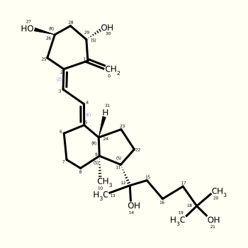 C=C1/C(=C\C=C2/CCC[C@]3(C)[C@@H](C(C)(O)CCCC(C)(C)O)CC[C@@H]23)C[C@@H](O)C[C@@H]1O